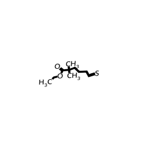 CCOC(=O)C(C)(C)CCCC=S